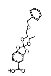 CCOC1(OCCOCc2ccccc2)Oc2ccc(C(=O)O)cc2O1